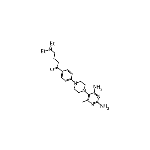 CCN(CC)CCCC(=O)c1ccc(N2CCN(c3c(C)nc(N)nc3N)CC2)cc1